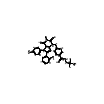 Cn1c(=O)c2c(nc(-c3ccccc3Cl)n2-c2ccc(Cl)cc2)n(Cc2ccc(C(=O)NCC(C)(C)O)cn2)c1=O